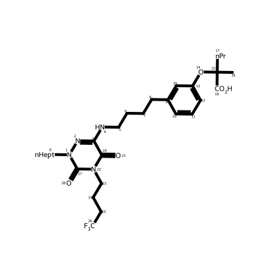 CCCCCCCn1nc(NCCCCc2cccc(OC(C)(CCC)C(=O)O)c2)c(=O)n(CCCC(F)(F)F)c1=O